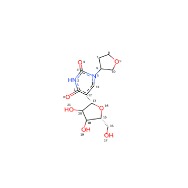 O=c1[nH]c(=O)n(C2CCOC2)cc1[C@@H]1O[C@H](CO)C(O)C1O